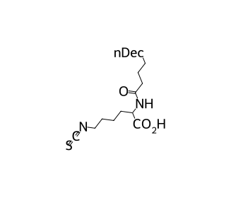 CCCCCCCCCCCCCC(=O)NC(CCCCN=C=S)C(=O)O